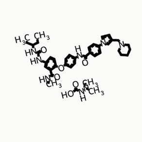 CCC(CC)NC(=O)Nc1ccc(Oc2ccc(NC(=O)c3ccc(-n4ccc(CN5CCCCC5)c4)cc3)cc2)c(C(=O)NC)c1.CN(C)NC(=O)O